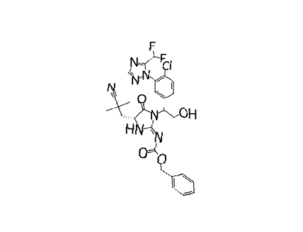 CC(C)(C#N)C[C@H]1NC(=NC(=O)OCc2ccccc2)N(C(CO)c2ccc(Cl)c(-n3ncnc3C(F)F)c2)C1=O